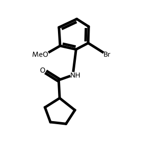 COc1cccc(Br)c1NC(=O)C1CCCC1